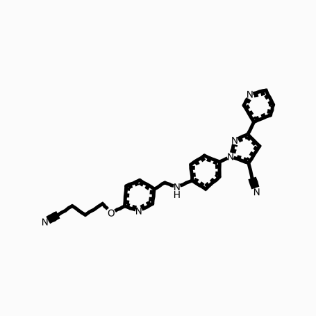 N#CCCCOc1ccc(CNc2ccc(-n3nc(-c4cccnc4)cc3C#N)cc2)cn1